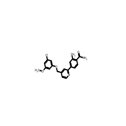 COc1cc(Cl)cc(OCc2ccnc(-c3ccc(C(N)=O)c(C)c3)c2)c1